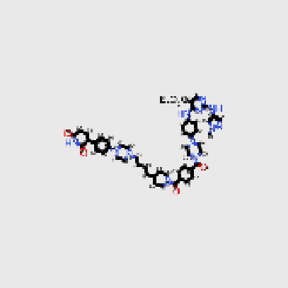 CCOC(=O)c1cnc(Nc2cnn(C)c2)nc1NC1CCC(N2CCN(C(=O)C3CCC(C(=O)N4CCC(CCCCN5CCN(c6ccc(C7CCC(=O)NC7=O)cc6)CC5)CC4)CC3)CC2)CC1